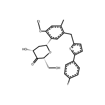 CCOc1cc(C)c(Cc2ccc(-c3ccc(F)cc3)s2)cc1[C@H]1C[C@@H](O)C(=O)[C@@H](CO)O1